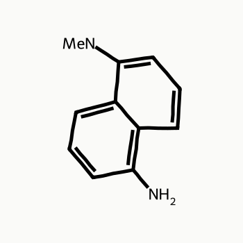 CNc1cccc2c(N)cccc12